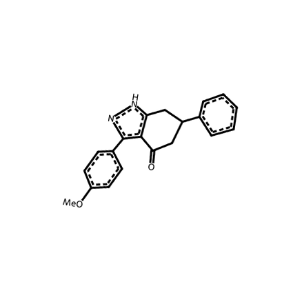 COc1ccc(-c2n[nH]c3c2C(=O)CC(c2ccccc2)C3)cc1